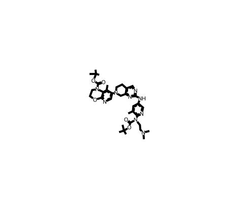 Cc1cc(Nc2ncc3c(n2)CN(c2cnc4c(c2C)N(C(=O)OC(C)(C)C)CCO4)CC3)cnc1N(CCN(C)C)C(=O)OC(C)(C)C